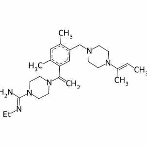 C=C(c1cc(CN2CCN(/C(C)=C/C)CC2)c(C)cc1C)N1CCN(/C(N)=N/CC)CC1